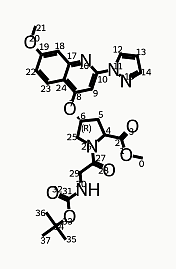 COC(=O)C1C[C@@H](Oc2cc(-n3cccn3)nc3cc(OC)ccc23)CN1C(=O)CNC(=O)OC(C)(C)C